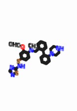 CN(Cc1ccccc1-c1ccccc1N1CCNCC1)c1ccc(SNc2ncns2)cc1OC=O